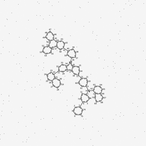 c1ccc(-c2ccc(N(c3ccc(-c4ccc5c(c4)c4cc(-c6cccc7ccccc67)ccc4n5-c4cccc(-c5ccc6c7ccccc7c7ccccc7c6c5)c4)cc3)c3cccc4ccccc34)cc2)cc1